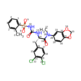 Cc1ccccc1S(=O)(=O)NC(=O)N[C@@H](Cc1ccc(Cl)c(Cl)c1)C(=O)N(C)c1ccc2c(c1)OCO2